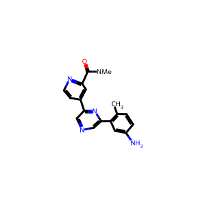 CNC(=O)c1cc(-c2cncc(-c3cc(N)ccc3C)n2)ccn1